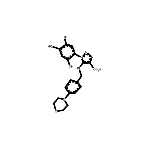 CC(C)c1cc(-n2nnc(C(=O)O)c2NCc2ccc(N3CCOCC3)cc2)c(O)cc1O